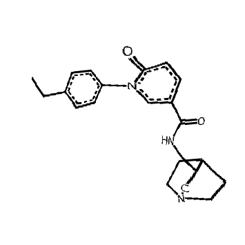 CCc1ccc(-n2cc(C(=O)NC3CN4CCC3CC4)ccc2=O)cc1